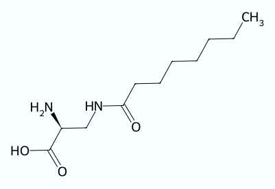 CCCCCCCC(=O)NC[C@H](N)C(=O)O